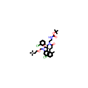 Cc1ccc(F)cc1C1CC(=O)N(CCNC(=O)OC(C)(C)C)[C@@H](c2cccc(Cl)c2)[C@]12C(=O)N(COCC[Si](C)(C)C)c1cc(Cl)ccc12